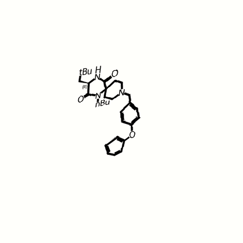 CCCCN1C(=O)[C@@H](CC(C)(C)C)NC(=O)C12CCN(Cc1ccc(Oc3ccccc3)cc1)CC2